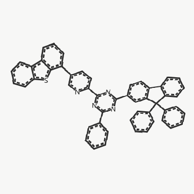 c1ccc(-c2nc(-c3ccc4c(c3)C(c3ccccc3)(c3ccccc3)c3ccccc3-4)nc(-c3ccc(-c4cccc5c4sc4ccccc45)cn3)n2)cc1